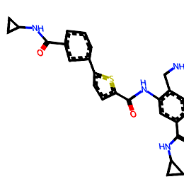 NCc1ccc(C(=O)NC2CC2)cc1NC(=O)c1ccc(-c2cccc(C(=O)NC3CC3)c2)s1